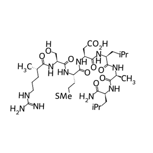 CSCC[C@H](NC(=O)[C@H](CO)NC(=O)[C@@H](C)CCCNC(=N)N)C(=O)N[C@@H](CC(=O)O)C(=O)N[C@@H](CC(C)C)C(=O)N[C@@H](C)C(=O)N[C@@H](CC(C)C)C(N)=O